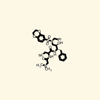 CC(C)CN(C[C@@H](O)[C@H](Cc1ccccc1)NC(=O)C(CC#N)NC(=O)CN(C)C)S(=O)(=O)c1ccc2c(c1)OCCO2